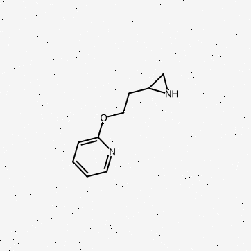 c1ccc(OCCC2CN2)nc1